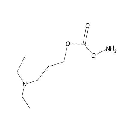 CCN(CC)CCCOC(=O)ON